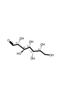 O=C[C@H](O)[C@H](O)[C@H](O)[C@@H](O)[C@H](O)CO